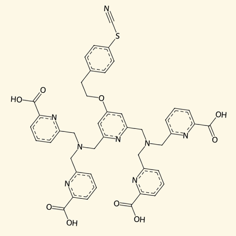 N#CSc1ccc(CCOc2cc(CN(Cc3cccc(C(=O)O)n3)Cc3cccc(C(=O)O)n3)nc(CN(Cc3cccc(C(=O)O)n3)Cc3cccc(C(=O)O)n3)c2)cc1